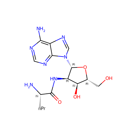 CCC[C@H](N)C(=O)N[C@@H]1[C@H](O)[C@@H](CO)O[C@H]1n1cnc2c(N)ncnc21